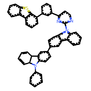 C1=CC2c3cc(-c4ccc5c(c4)c4ccccc4n5-c4nccc(-c5cccc(-c6cccc7c6sc6ccccc67)c5)n4)ccc3N(c3ccccc3)C2C=C1